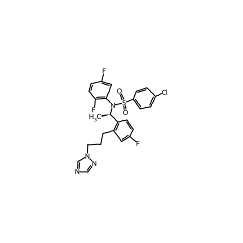 C[C@H](c1ccc(F)cc1CCCn1cncn1)N(c1cc(F)ccc1F)S(=O)(=O)c1ccc(Cl)cc1